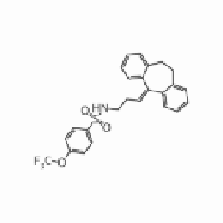 O=S(=O)(NCCC=C1c2ccccc2CCc2ccccc21)c1ccc(OC(F)(F)F)cc1